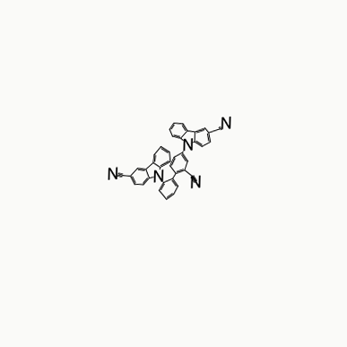 N#Cc1ccc2c(c1)c1ccccc1n2-c1ccc(-c2ccccc2-n2c3ccccc3c3cc(C#N)ccc32)c(C#N)c1